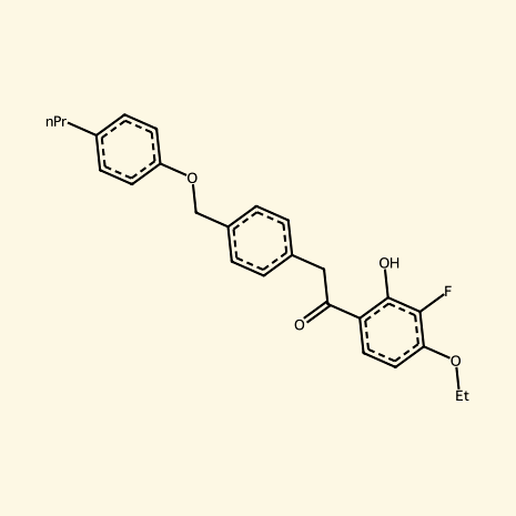 CCCc1ccc(OCc2ccc(CC(=O)c3ccc(OCC)c(F)c3O)cc2)cc1